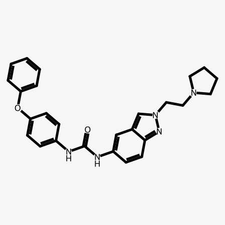 O=C(Nc1ccc(Oc2ccccc2)cc1)Nc1ccc2nn(CCN3CCCC3)cc2c1